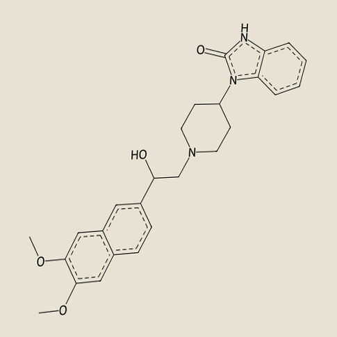 COc1cc2ccc(C(O)CN3CCC(n4c(=O)[nH]c5ccccc54)CC3)cc2cc1OC